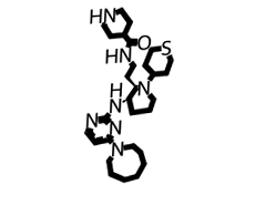 O=C(NCC[C@@H]1[C@@H](Nc2nccc(N3CCCCCCC3)n2)CCCN1C1CCSCC1)C1CCNCC1